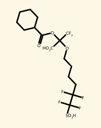 O=C(OC(OCCCCC(F)(F)C(F)(F)S(=O)(=O)O)(C(=O)O)C(F)(F)F)C1CCCCC1